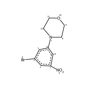 O=[N+]([O-])c1cc(Br)cc(N2CCOCC2)c1